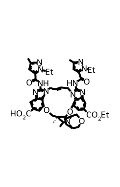 CCOC(=O)c1cc2c3c(c1)nc(NC(=O)c1cc(C)nn1CC)n3C/C=C/Cn1c(NC(=O)c3cc(C)nn3CC)nc3cc(C(=O)O)cc(c31)OC[C@](C)(C(C)N1C3CCC1COC3)CO2